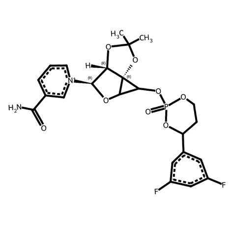 CC1(C)O[C@H]2[C@H]([n+]3cccc(C(N)=O)c3)OC3C(OP4(=O)OCCC(c5cc(F)cc(F)c5)O4)[C@@]32O1